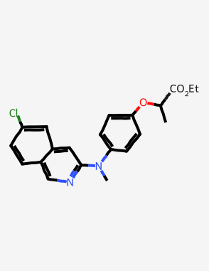 CCOC(=O)C(C)Oc1ccc(N(C)c2cc3cc(Cl)ccc3cn2)cc1